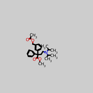 COC(=O)C(CCN(C(C)C)C(C)C)(c1ccccc1)c1cccc(COC(C)=O)c1